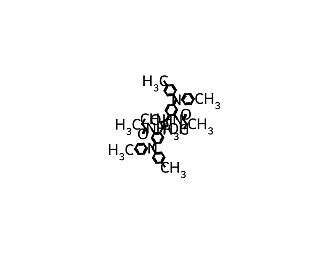 Cc1ccc(N(c2ccc(C)cc2)c2ccc(C3=C(O)/C(=C4/C=CC(=[N+](c5ccc(C)cc5)c5ccc(C)cc5)C=C4NC(=O)C(C)C)C3=O)c(NC(=O)C(C)C)c2)cc1